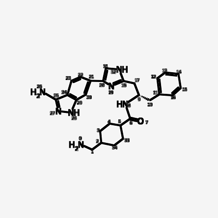 NCC1CCC(C(=O)N[C@@H](Cc2ccccc2)Cc2nc(-c3ccc4c(N)n[nH]c4c3)c[nH]2)CC1